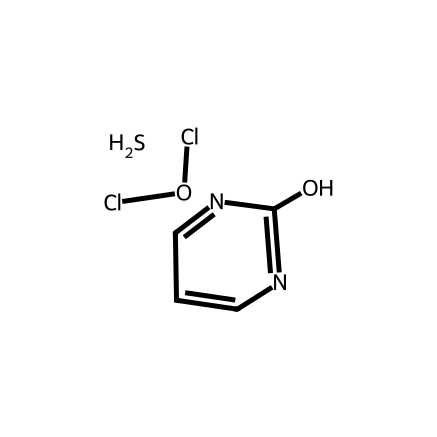 ClOCl.Oc1ncccn1.S